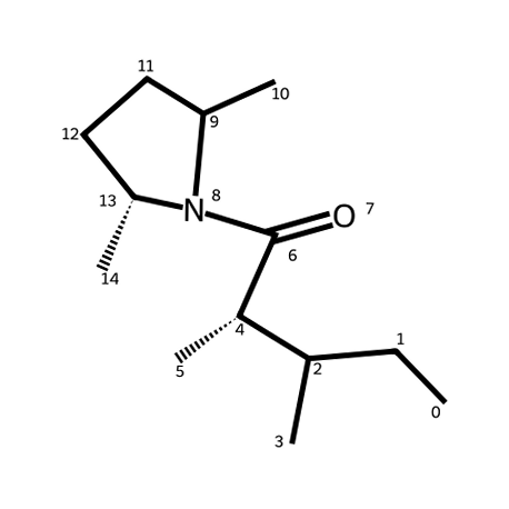 CCC(C)[C@H](C)C(=O)N1C(C)CC[C@H]1C